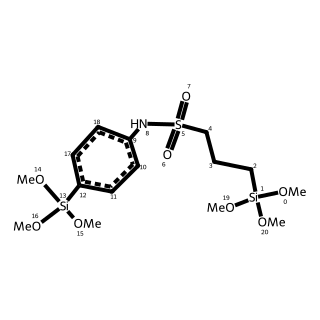 CO[Si](CCCS(=O)(=O)Nc1ccc([Si](OC)(OC)OC)cc1)(OC)OC